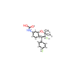 CC1(C)Oc2cc(NC(=O)O)ccc2C(c2ccc(F)cc2)=C1F